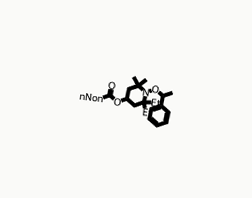 CCCCCCCCCC(=O)OC1CC(C)(C)N(OC(C)c2ccccc2)C(CC)(CC)C1